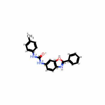 Cc1ccc(NC(=O)Nc2ccc3nc(-c4ccccc4)oc3c2)cc1